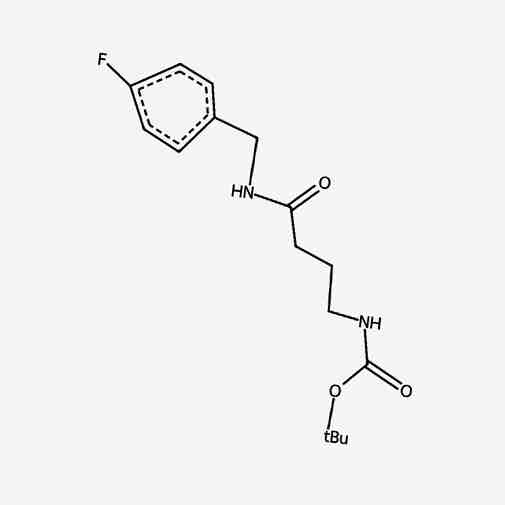 CC(C)(C)OC(=O)NCCCC(=O)NCc1ccc(F)cc1